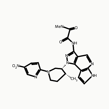 CNC(=O)C(=O)Nc1nn([C@H]2CN(c3ccc([N+](=O)[O-])cn3)CC[C@H]2C)c2c1cnc1[nH]ccc12